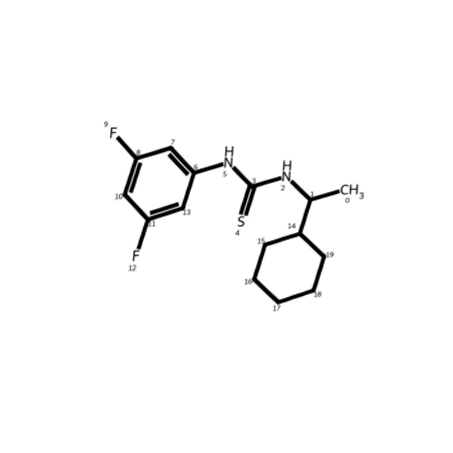 CC(NC(=S)Nc1cc(F)cc(F)c1)C1CCCCC1